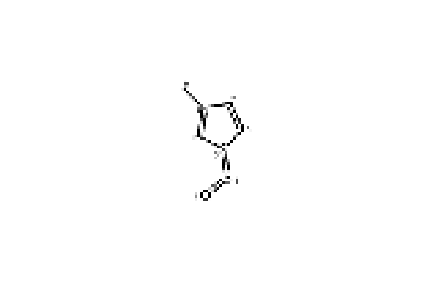 CC1=CS(=S=O)C=C1